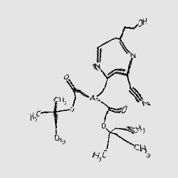 CC(C)(C)OC(=O)[As](C(=O)OC(C)(C)C)c1ncc(CO)nc1C#N